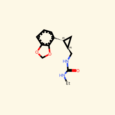 CCNC(=O)NC[C@@H]1C[C@H]1c1cccc2c1OCO2